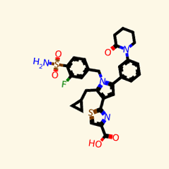 NS(=O)(=O)c1ccc(Cn2c(-c3cccc(N4CCCCC4=O)c3)cc(-c3nc(C(=O)O)cs3)c2CC2CC2)cc1F